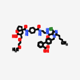 CCCCc1nc(Cl)c(C(=O)NCCNC(=O)C2CCC(NC(=O)C3(CC(COCCOC)C(=O)O)CCCC3)CC2)n1Cc1ccc(-c2ccccc2C(=O)O)cc1